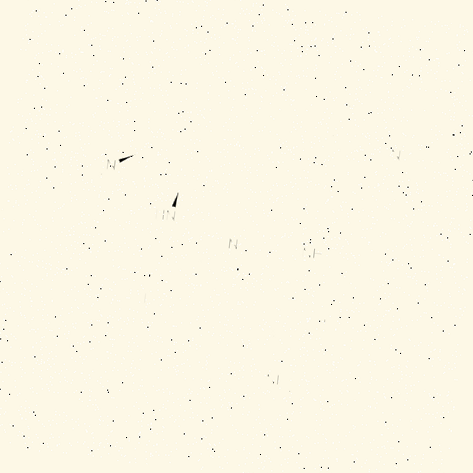 NC(=O)c1cc(F)c(N[C@@H]2CCCC[C@@H]2N)nc1Nc1ccc2scnc2c1